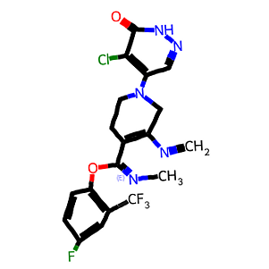 C=NC1=C(/C(=N\C)Oc2ccc(F)cc2C(F)(F)F)CCN(c2cn[nH]c(=O)c2Cl)C1